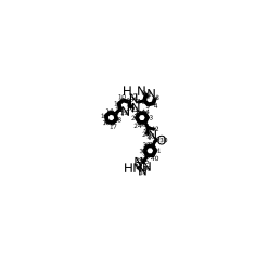 Nc1ncccc1-c1nc2ccc(-c3ccccc3)nc2n1-c1ccc(C2CN(C(=O)c3ccc(-c4nn[nH]n4)cc3)C2)cc1